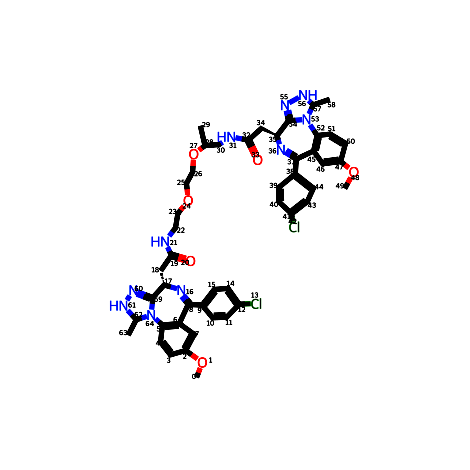 COc1ccc2c(c1)C(c1ccc(Cl)cc1)=N[C@@H](CC(=O)NCCOCCOC(C)CNC(=O)C[C@@H]1N=C(c3ccc(Cl)cc3)c3cc(OC)ccc3N3C1=NNC3C)C1=NNC(C)N12